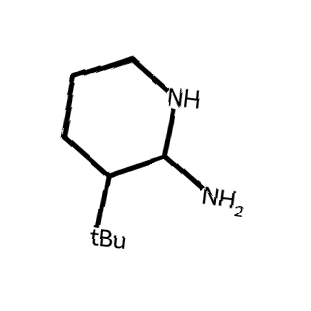 CC(C)(C)C1CCCNC1N